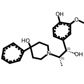 COc1cc([C@H](O)[C@H](C)N2CCC(O)(c3ccccc3)CC2)ccc1O